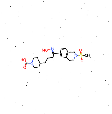 CS(=O)(=O)N1CCc2cc(/C(CCCC3CCN(C(=O)O)CC3)=N/O)ccc2C1